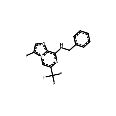 FC(F)(F)c1cn2c(I)cnc2c(NCc2ccccc2)n1